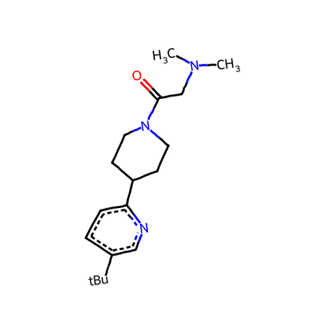 CN(C)CC(=O)N1CCC(c2ccc(C(C)(C)C)cn2)CC1